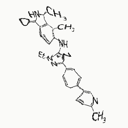 CCn1nc(-c2ccc(-c3ccc(C)nc3)cc2)nc1Nc1ccc2c(c1C)C(C)NC2=O